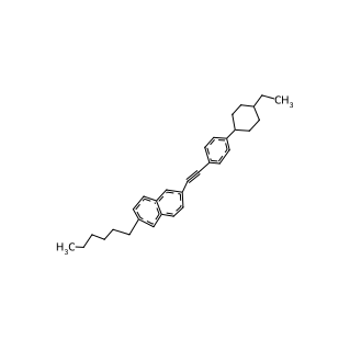 CCCCCCc1ccc2cc(C#Cc3ccc(C4CCC(CC)CC4)cc3)ccc2c1